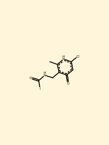 Cc1[nH]c(Cl)cc(=O)c1CNC(=O)I